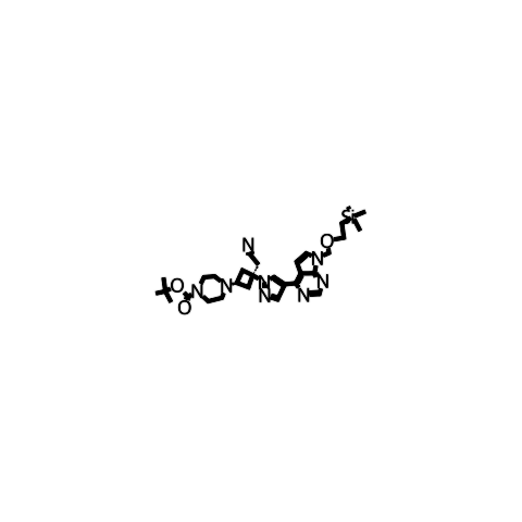 CC(C)(C)OC(=O)N1CCN([C@H]2C[C@@](CC#N)(n3cc(-c4ncnc5c4ccn5COCC[Si](C)(C)C)cn3)C2)CC1